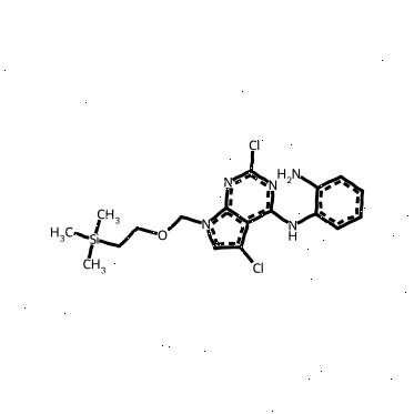 C[Si](C)(C)CCOCn1cc(Cl)c2c(Nc3ccccc3N)nc(Cl)nc21